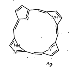 C1=Cc2cc3cnc(cc4nc(cc5ccc(cc1n2)[nH]5)C=C4)[nH]3.[Ag]